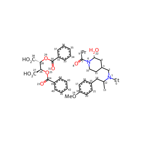 CCN(CC1CCN(C(=O)C(C)C)CC1)C(C)Cc1ccc(OC)cc1.O.O=C(O[C@@H](C(=O)O)[C@@H](OC(=O)c1ccccc1)C(=O)O)c1ccccc1